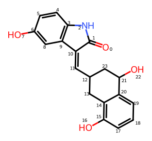 O=C1Nc2ccc(O)cc2C1=CC1Cc2c(O)cccc2C(O)C1